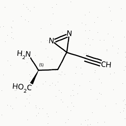 C#CC1(C[C@H](N)C(=O)O)N=N1